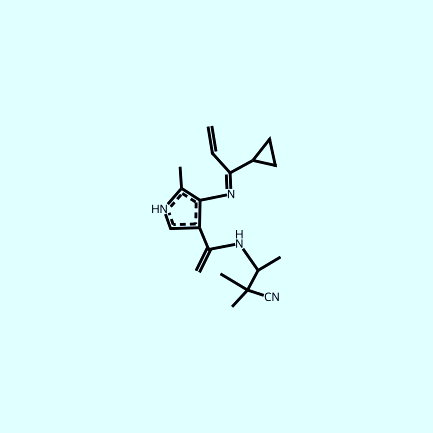 C=C/C(=N\c1c(C(=C)NC(C)C(C)(C)C#N)c[nH]c1C)C1CC1